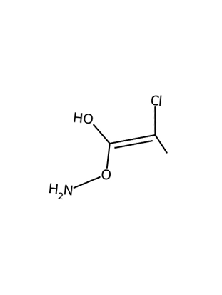 C/C(Cl)=C(/O)ON